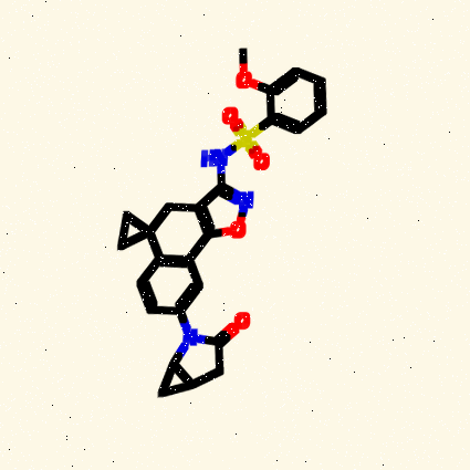 COc1ccccc1S(=O)(=O)Nc1noc2c1CC1(CC1)c1ccc(N3C(=O)CC4CC43)cc1-2